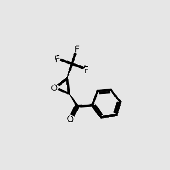 O=C(c1ccccc1)[C@H]1O[C@H]1C(F)(F)F